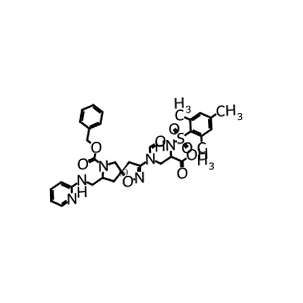 Cc1cc(C)c(S(=O)(=O)NC(CN(C=O)C2=NO[C@]3(C2)CC(CNc2ccccn2)N(C(=O)OCc2ccccc2)C3)C(=O)O)c(C)c1